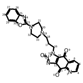 O=C1c2ncccc2C(=O)c2c1n[n+]([O-])n2CCCN1CCN(c2nc3ccccc3o2)CC1